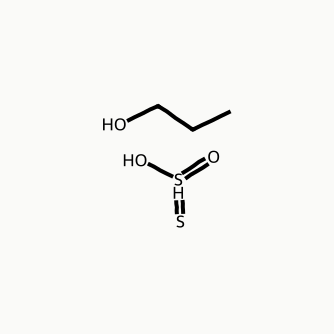 CCCO.O=[SH](O)=S